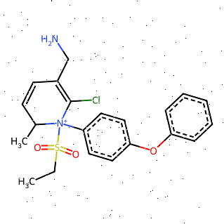 CCS(=O)(=O)[N+]1(c2ccc(Oc3ccccc3)cc2)C(Cl)=C(CN)C=CC1C